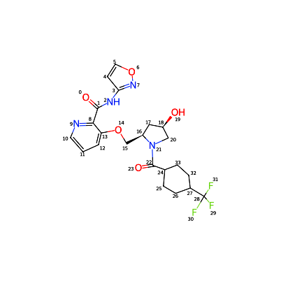 O=C(Nc1ccon1)c1ncccc1OC[C@H]1C[C@@H](O)CN1C(=O)C1CCC(C(F)(F)F)CC1